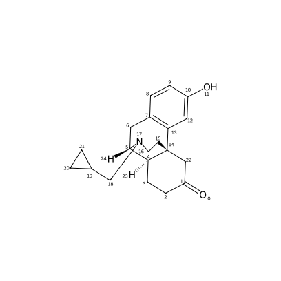 O=C1CC[C@H]2[C@@H]3Cc4ccc(O)cc4[C@]2(CCN3CC2CC2)C1